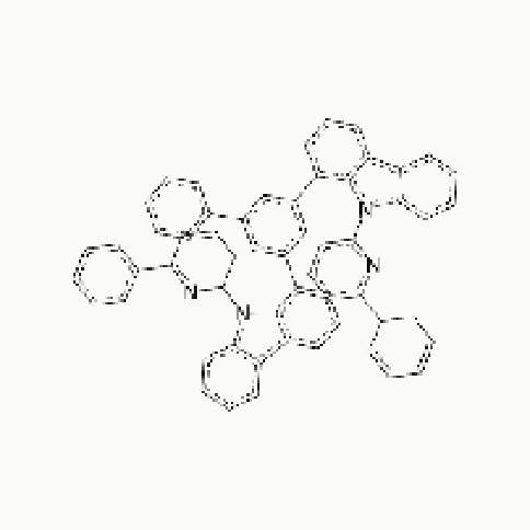 C1=CCC(c2cccc(-n3c4ccccc4c4cccc(-c5cc(-c6ccccc6)cc(-c6cccc7c8ccccc8n(C8CC=CC(c9ccccc9)=N8)c67)c5)c43)n2)C=C1